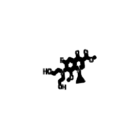 COC(=O)c1cn(C2CC2)c2c(OC)c(N(CCO)CCO)c(F)cc2c1=O